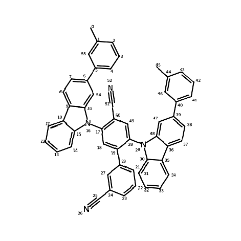 Cc1cccc(-c2ccc3c4ccccc4n(-c4cc(-c5cccc(C#N)c5)c(-n5c6ccccc6c6ccc(-c7cccc(C)c7)cc65)cc4C#N)c3c2)c1